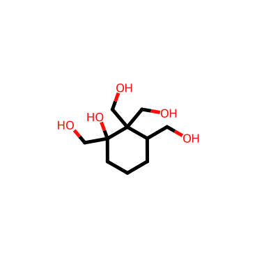 OCC1CCCC(O)(CO)C1(CO)CO